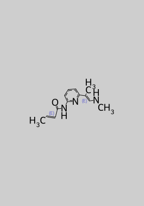 C/C=C/C(=O)Nc1cccc(/C(C)=C/NC)n1